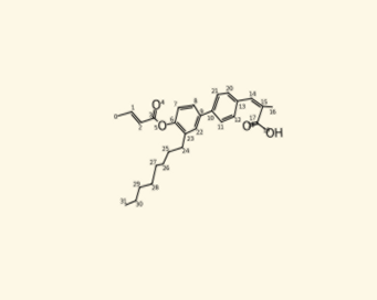 CC=CC(=O)Oc1ccc(-c2ccc(C=C(C)C(=O)O)cc2)cc1CCCCCCCC